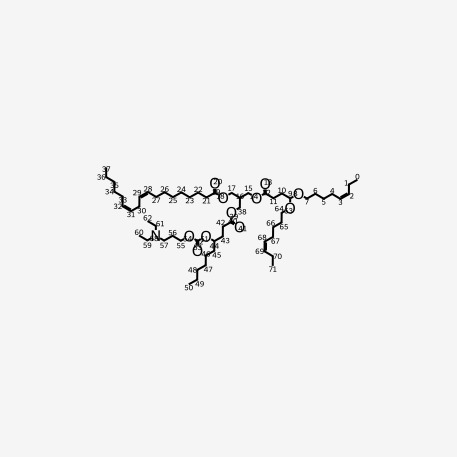 CC/C=C\CCCCOC(CCC(=O)OCC(COC(=O)CCCCCCC/C=C\C/C=C\CCCCC)COC(=O)CCC(CCCCCC)OC(=O)OCCCN(CC)CC)OCCCC/C=C\CC